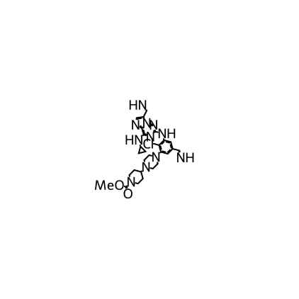 COC(=O)N1CCC(N2CCN(c3cc(C=N)cc(Nc4nc(NC5CC5)c5ncc(C=N)n5n4)c3Cl)CC2)CC1